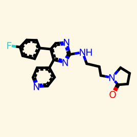 O=C1CCCN1CCCNc1ncc(-c2ccc(F)cc2)c(-c2ccncc2)n1